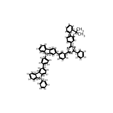 CC(C)(C)c1ccccc1-c1ccc(-c2nc(-c3ccccc3)nc(-c3cccc(-c4ccc5c6ccccc6n(-c6ccc(-c7ccc8c(c7)c7ccccc7n8-c7ccccc7)cc6)c5c4)c3)n2)cc1